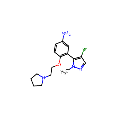 Cn1ncc(Br)c1-c1cc(N)ccc1OCCN1CCCC1